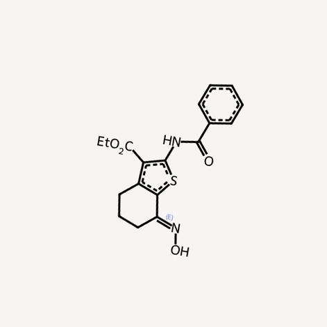 CCOC(=O)c1c(NC(=O)c2ccccc2)sc2c1CCC/C2=N\O